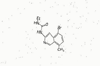 CCNC(=O)Nc1cc2c(Br)ccc(C)c2cn1